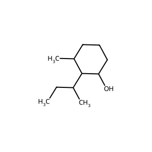 CCC(C)C1C(C)CCCC1O